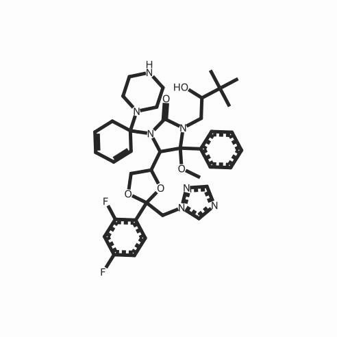 COC1(c2ccccc2)C(C2COC(Cn3cncn3)(c3ccc(F)cc3F)O2)N(C2(N3CCNCC3)C=CC=CC2)C(=O)N1CC(O)C(C)(C)C